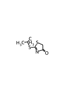 CC(C)SC1=NC(=O)CS1